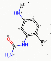 CCNc1ccc(C(C)C)c(NC(N)=O)c1